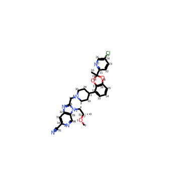 CO[C@@H](C)Cn1c(CN2CCC(c3cccc4c3OC(C)(c3ccc(Cl)cn3)O4)CC2)nc2cc(C#N)ncc21